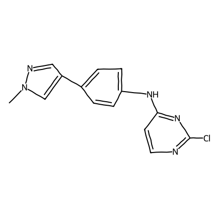 Cn1cc(-c2ccc(Nc3ccnc(Cl)n3)cc2)cn1